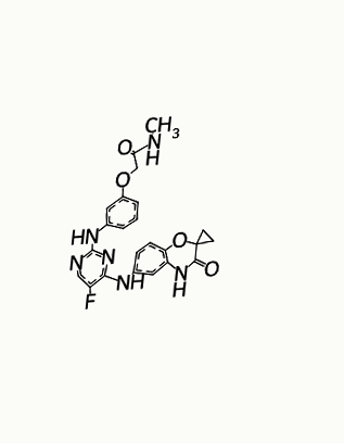 CNC(=O)COc1cccc(Nc2ncc(F)c(Nc3ccc4c(c3)NC(=O)C3(CC3)O4)n2)c1